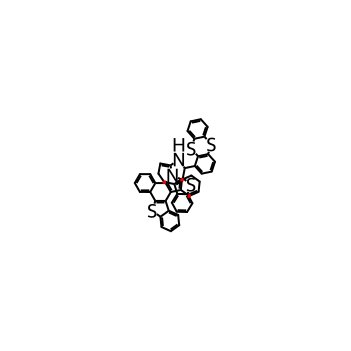 C1=Cc2c(n(/C3=C\CCc4c(sc5ccccc45)C(c4cccc5c4Sc4ccccc4S5)N3)c3c4ccccc4c4sc5ccccc5c4c23)CC1